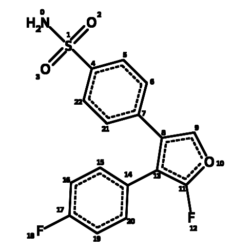 NS(=O)(=O)c1ccc(-c2coc(F)c2-c2ccc(F)cc2)cc1